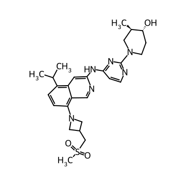 CC(C)c1ccc(N2CC(CS(C)(=O)=O)C2)c2cnc(Nc3ccnc(N4CC[C@@H](O)[C@H](C)C4)n3)cc12